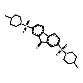 CC1CCN(S(=O)(=O)c2ccc3c(c2)C(=O)c2cc(S(=O)(=O)N4CCC(C)CC4)ccc2-3)CC1